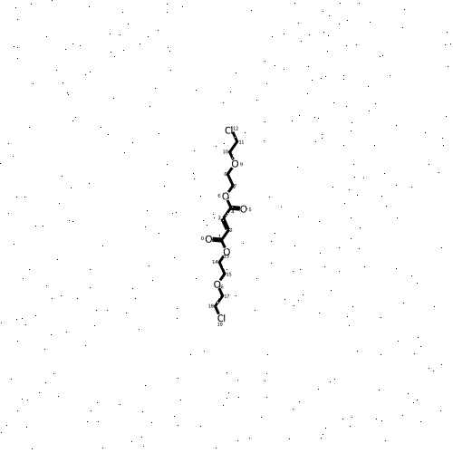 O=C(C=CC(=O)OCCOCCCl)OCCOCCCl